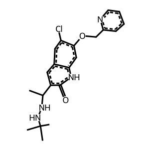 CC(NNC(C)(C)C)c1cc2cc(Cl)c(OCc3ccccn3)cc2[nH]c1=O